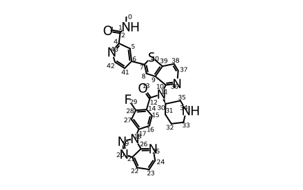 CNC(=O)c1cc(-c2cc3c(N(C(=O)c4ccc(-n5nnc6cccnc65)cc4F)[C@@H]4CCCNC4)nccc3s2)ccn1